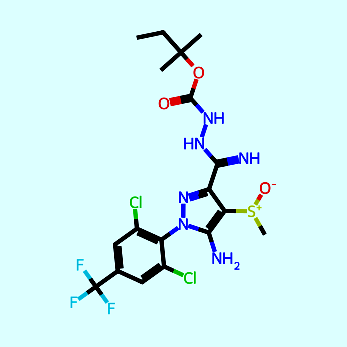 CCC(C)(C)OC(=O)NNC(=N)c1nn(-c2c(Cl)cc(C(F)(F)F)cc2Cl)c(N)c1[S+](C)[O-]